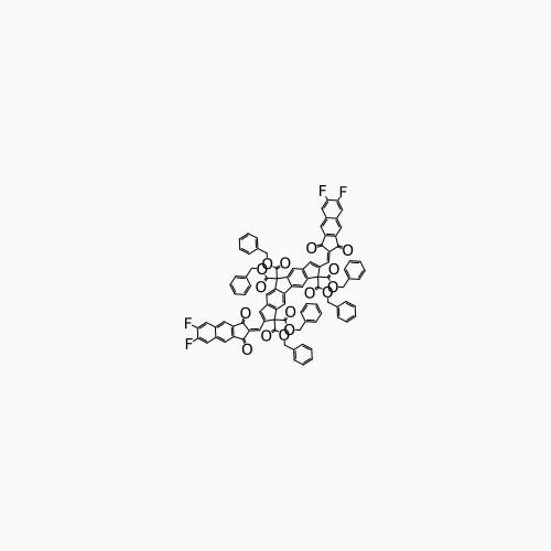 O=C1C(=CC2=Cc3cc4c(cc3C2(C(=O)OCc2ccccc2)C(=O)OCc2ccccc2)-c2cc3c(cc2C4(C(=O)OCc2ccccc2)C(=O)OCc2ccccc2)C=C(C=C2C(=O)c4cc5cc(F)c(F)cc5cc4C2=O)C3(C(=O)OCc2ccccc2)C(=O)OCc2ccccc2)C(=O)c2cc3cc(F)c(F)cc3cc21